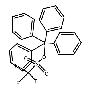 O=S(=O)(OP(c1ccccc1)(c1ccccc1)(c1ccccc1)c1ccccc1)C(F)(F)F